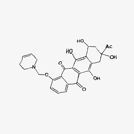 CC(=O)C1(O)Cc2c(O)c3c(c(O)c2C(O)C1)C(=O)c1c(OCN2CC=CCC2)cccc1C3=O